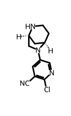 N#Cc1cc(N2C[C@@H]3C[C@H]2CCN3)cnc1Cl